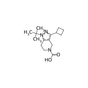 CC(C)(C)n1nc(C2CCC2)c2c1CCN(C(=O)O)C2